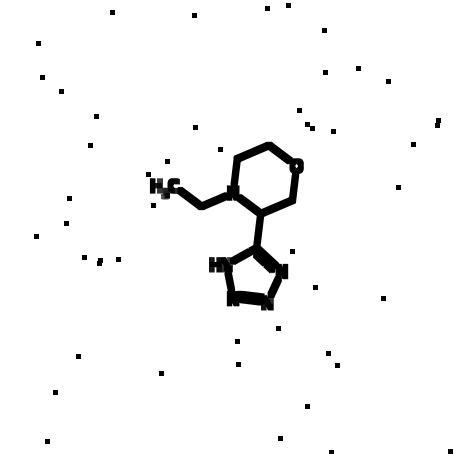 CCN1CCOCC1c1nnn[nH]1